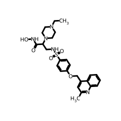 CCN1CCN(C(CNS(=O)(=O)c2ccc(OCc3cc(C)nc4ccccc34)cc2)C(=O)NO)CC1